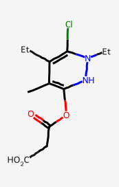 CCC1=C(Cl)N(CC)NC(OC(=O)CC(=O)O)=C1C